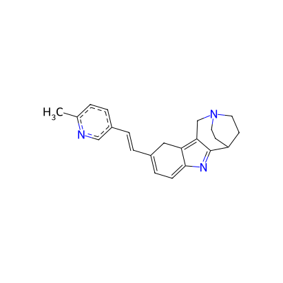 Cc1ccc(C=CC2=CC=C3N=C4C(=C3C2)CN2CCC4CC2)cn1